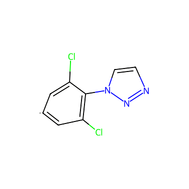 Clc1c[c]cc(Cl)c1-n1ccnn1